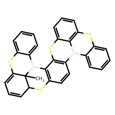 CC12B3c4ccccc4SC1=CC=CC2Sc1ccc2c(c13)Sc1cccc3c1B2c1ccccc1S3